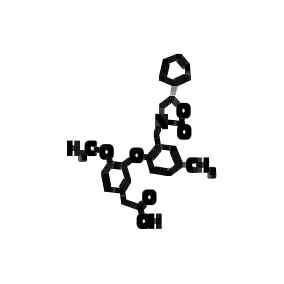 COc1ccc(CC(=O)O)cc1Oc1ccc(C)cc1CN1C[C@H](c2ccccc2)OC1=O